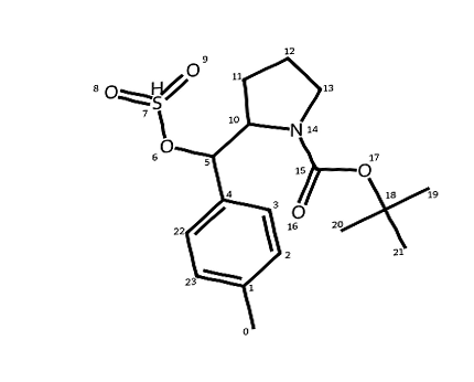 Cc1ccc(C(O[SH](=O)=O)C2CCCN2C(=O)OC(C)(C)C)cc1